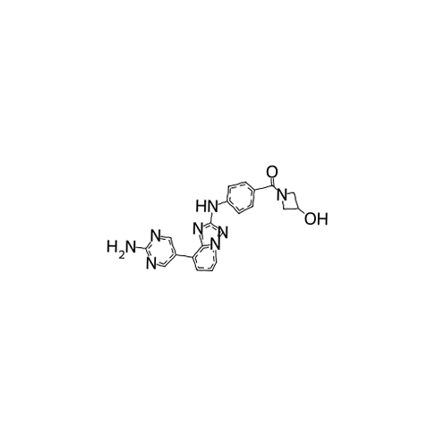 Nc1ncc(-c2cccn3nc(Nc4ccc(C(=O)N5CC(O)C5)cc4)nc23)cn1